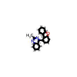 Cc1nc(-c2cccc3oc4ccccc4c23)c2ccccc2n1